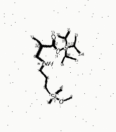 CO[Si](C)(C)CCCNCC(C)C(=O)O[Si](C(C)C)(C(C)C)C(C)C